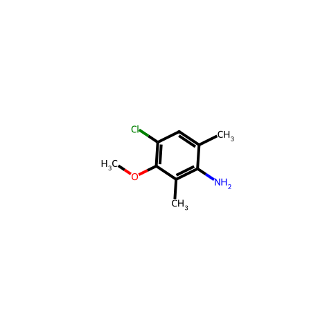 COc1c(Cl)cc(C)c(N)c1C